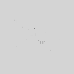 O=C(Nc1ccccc1C(F)(F)F)Nc1[nH]c2ccc(Cl)cc2c1S(=O)(=O)c1ccccc1